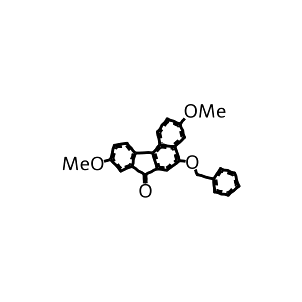 COc1ccc2c(c1)C(=O)c1cc(OCc3ccccc3)c3cc(OC)ccc3c1-2